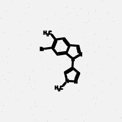 Cc1cc2cnn(-c3cnn(C)c3)c2cc1Br